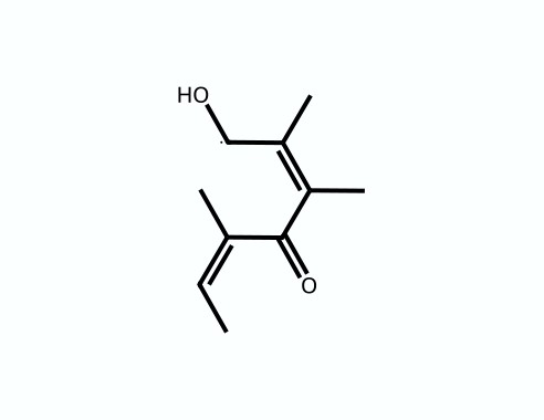 CC=C(C)C(=O)C(C)=C(C)[CH]O